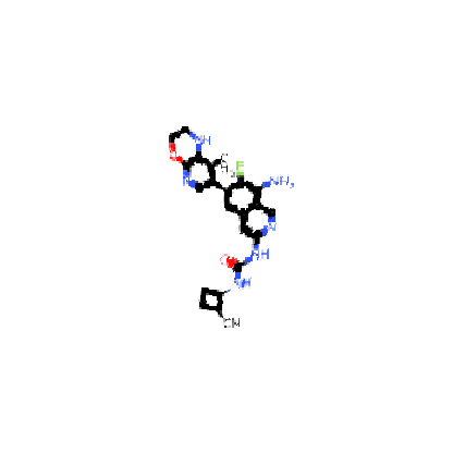 Cc1c(-c2cc3cc(NC(=O)N[C@H]4CC[C@@H]4C#N)ncc3c(N)c2F)cnc2c1NCCO2